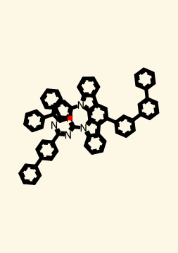 c1ccc(-c2ccc(-c3nc(-c4ccccc4)nc(-n4c5ccccc5c5c(-c6cccc(-c7cccc(-c8ccccc8)c7)c6)cc6c7ccccc7n(-c7ccc(-c8ccccc8)cc7)c6c54)n3)cc2)cc1